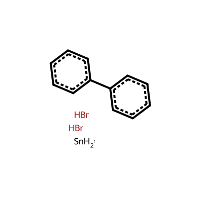 Br.Br.[SnH2].c1ccc(-c2ccccc2)cc1